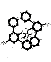 Cc1cc(-c2ccccc2)c([O][Ta]([Cl])([Cl])([Cl])[O]c2c(-c3ccccc3)cc(C)cc2-c2ccccc2)c(-c2ccccc2)c1